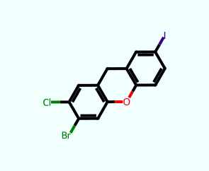 Clc1cc2c(cc1Br)Oc1ccc(I)cc1C2